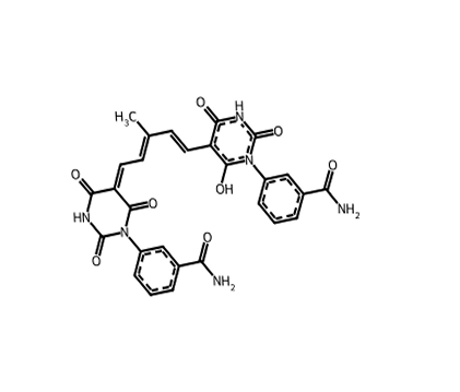 CC(C=Cc1c(O)n(-c2cccc(C(N)=O)c2)c(=O)[nH]c1=O)=CC=C1C(=O)NC(=O)N(c2cccc(C(N)=O)c2)C1=O